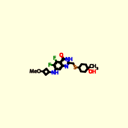 COC1CC(Nc2cc3nc(CSC4CCC(C)(O)CC4)[nH]c(=O)c3c(F)c2F)C1